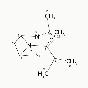 CC(C)C(=O)N1C2CC1N(C(C)C)C2